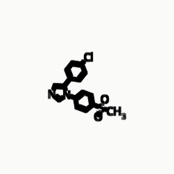 CS(=O)(=O)c1ccc(-n2cncc2-c2ccc(Cl)cc2)cc1